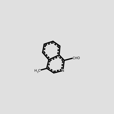 Cc1cnc(C=O)c2ccccc12